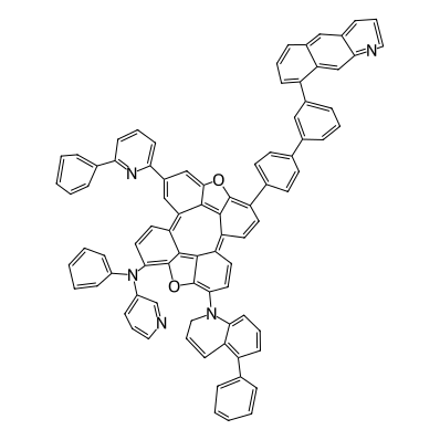 C1=Cc2c(-c3ccccc3)cccc2N(c2ccc3c4ccc(-c5ccc(-c6cccc(-c7cccc8cc9cccnc9cc78)c6)cc5)c5oc6cc(-c7cccc(-c8ccccc8)n7)cc(c7ccc(N(c8ccccc8)c8cccnc8)c8oc2c3c87)c6c54)C1